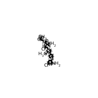 CC[C@H]1CN(c2nc(N)c(C(=O)NCCS(C)(=O)=O)nc2Cl)CCN1C1CCN(Cc2ccc(Cl)nc2N)CC1